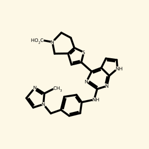 Cc1nccn1Cc1ccc(Nc2nc(-c3cc4c(s3)CCN(C(=O)O)C4)c3cc[nH]c3n2)cc1